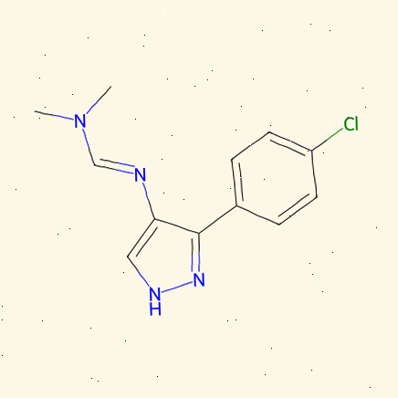 CN(C)C=Nc1c[nH]nc1-c1ccc(Cl)cc1